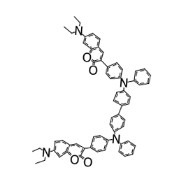 CCN(CC)c1ccc2cc(-c3ccc(N(c4ccccc4)c4ccc(-c5ccc(N(c6ccccc6)c6ccc(-c7cc8ccc(N(CC)CC)cc8oc7=O)cc6)cc5)cc4)cc3)c(=O)oc2c1